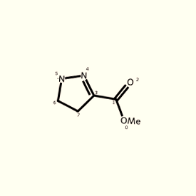 COC(=O)C1=N[N]CC1